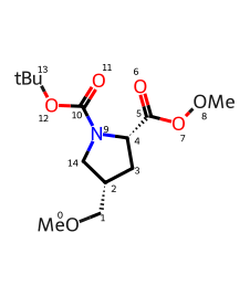 COC[C@H]1C[C@@H](C(=O)OOC)N(C(=O)OC(C)(C)C)C1